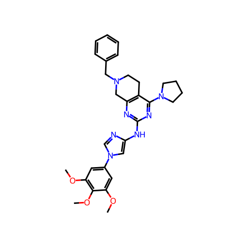 COc1cc(-n2cnc(Nc3nc4c(c(N5CCCC5)n3)CCN(Cc3ccccc3)C4)c2)cc(OC)c1OC